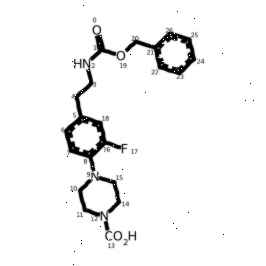 O=C(NCCc1ccc(N2CCN(C(=O)O)CC2)c(F)c1)OCc1ccccc1